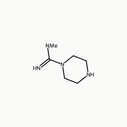 CNC(=N)N1CCNCC1